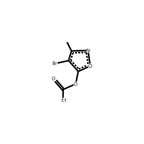 CCC(=O)Oc1onc(C)c1Br